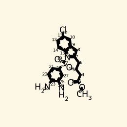 COC(=O)CCCc1cc2cc(Cl)ccc2n1S(=O)(=O)c1ccc(N)c(N)c1